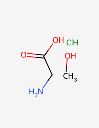 CO.Cl.NCC(=O)O